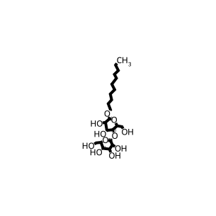 CCCCCCCCCCCO[C@H]1OC(CO)[C@@H](O[C@H]2OC(CO)[C@@H](O)C(O)C2O)C(O)C1O